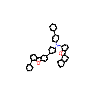 c1ccc(-c2ccc(N(c3ccc(-c4ccc5oc6c(-c7ccccc7)cccc6c5c4)cc3)c3cccc4c3oc3c5ccccc5ccc43)cc2)cc1